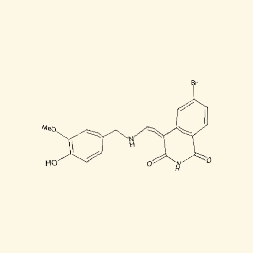 COc1cc(CNC=C2C(=O)NC(=O)c3ccc(Br)cc32)ccc1O